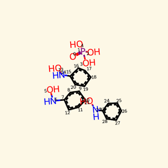 O=P(O)(O)O.ONc1ccccc1.ONc1ccccc1.ONc1ccccc1